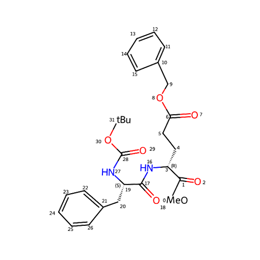 COC(=O)[C@@H](CCC(=O)OCc1ccccc1)NC(=O)[C@H](Cc1ccccc1)NC(=O)OC(C)(C)C